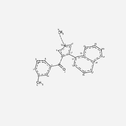 Cc1cccc(C(=O)c2cn(C)cc2-c2cccc3ccccc23)c1